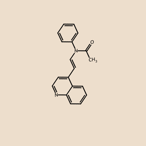 CC(=O)N(C=Cc1ccnc2ccccc12)c1ccccc1